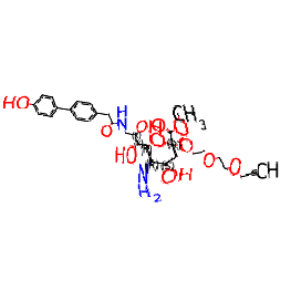 C#CCOCCOCCO[C@]1(C(=O)OC)C[C@H](O)[C@@H](N)[C@H]([C@H](O)[C@H](O)CNC(=O)Cc2ccc(-c3ccc(O)cc3)cc2)O1